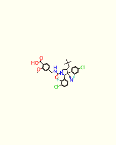 COc1cc(CNC(=O)N2C[C@@H](CC(C)(C)C)[C@](C#N)(c3ccc(Cl)cc3F)[C@H]2c2cccc(Cl)c2F)ccc1C(=O)O